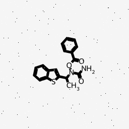 CC(c1cc2ccccc2s1)N(OC(=O)c1ccccc1)C(N)=O